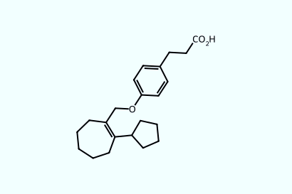 O=C(O)CCc1ccc(OCC2=C(C3CCCC3)CCCCC2)cc1